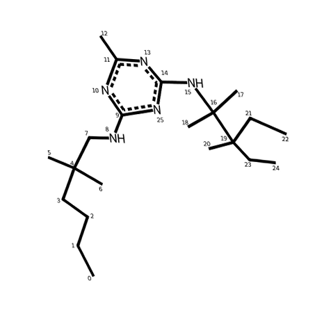 CCCCC(C)(C)CNc1nc(C)nc(NC(C)(C)C(C)(CC)CC)n1